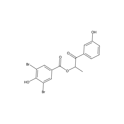 CC(OC(=O)c1cc(Br)c(O)c(Br)c1)C(=O)c1cccc(O)c1